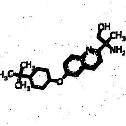 CC(N)(CO)c1ccc2cc(OC3CCC(C(C)(C)C)CC3)ccc2n1